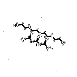 NC(=O)NC(=O)NC(N)=O.OCCOCCOCCOCCO